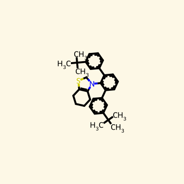 CC(C)(C)c1cccc(-c2cccc(-c3cccc(C(C)(C)C)c3)c2N2CSC3=C2CCCC3)c1